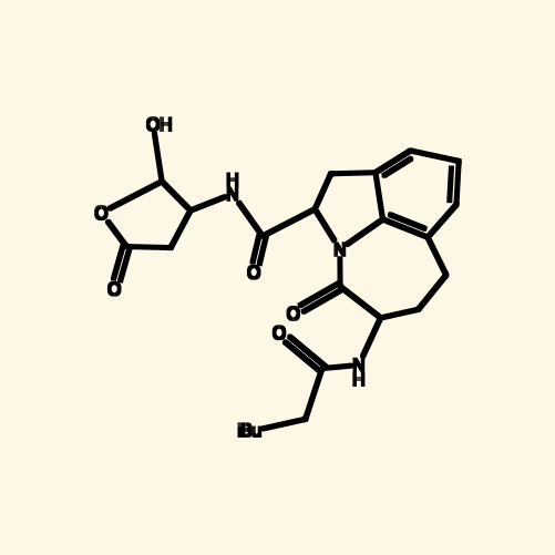 CCC(C)CC(=O)NC1CCc2cccc3c2N(C1=O)C(C(=O)NC1CC(=O)OC1O)C3